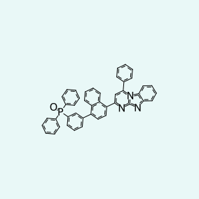 O=P(c1ccccc1)(c1ccccc1)c1cccc(-c2ccc(-c3cc(-c4ccccc4)n4c(n3)nc3ccccc34)c3ccccc23)c1